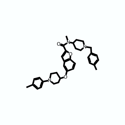 Cc1ccc(CN2CCC(N(C)C(=O)c3cc4cc(OC5CCN(c6ccc(C)cc6)CC5)ccc4o3)CC2)cc1